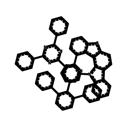 c1ccc(-c2nc(-c3ccccc3)nc(-c3cc(-c4c(-c5ccccc5)cccc4-c4ccccc4)cnc3-c3cccc4sc5ccc6c7ccccc7n(-c7ccccc7)c6c5c34)n2)cc1